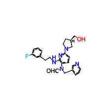 O=CN(Cc1cccnc1)c1ccc(N2CC[C@@H](CO)C2)nc1NCCc1cccc(F)c1